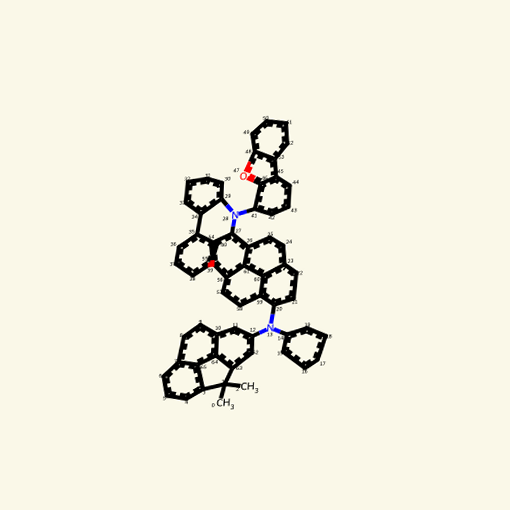 CC1(C)c2cccc3ccc4cc(N(c5ccccc5)c5ccc6ccc7c(N(c8ccccc8-c8ccccc8)c8cccc9c8oc8ccccc89)ccc8ccc5c6c87)cc1c4c23